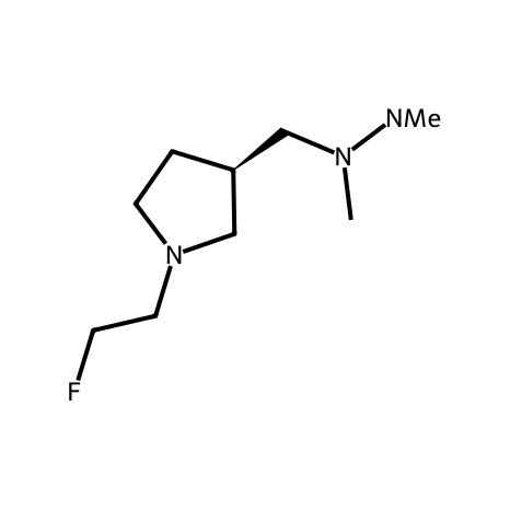 CNN(C)C[C@@H]1CCN(CCF)C1